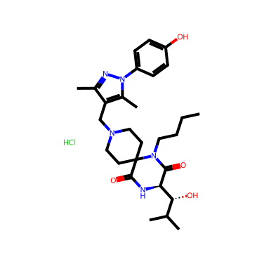 CCCCN1C(=O)[C@@H]([C@H](O)C(C)C)NC(=O)C12CCN(Cc1c(C)nn(-c3ccc(O)cc3)c1C)CC2.Cl